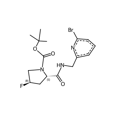 CC(C)(C)OC(=O)N1C[C@H](F)C[C@H]1C(=O)NCc1cccc(Br)n1